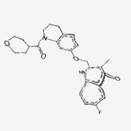 Cc1c(COc2ccc3c(c2)N(C(=O)C2CCOCC2)CCC3)[nH]c2ccc(F)cc2c1=O